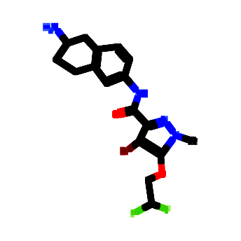 CCn1nc(C(=O)Nc2ccc3c(c2)CCC(N)C3)c(Br)c1OCC(F)F